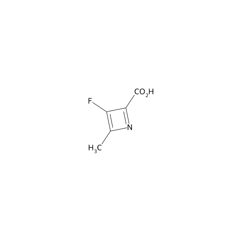 CC1=C(F)C(C(=O)O)=N1